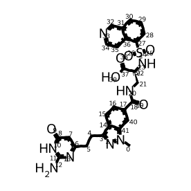 Cn1nc(CCc2cc(=O)[nH]c(N)n2)c2ccc(C(=O)NC[C@H](NS(=O)(=O)c3cccc4cnccc34)C(=O)O)cc21